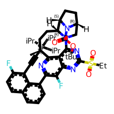 CCS(=O)(=O)c1nc2c3c(nc(-c4cccc5ccc(F)c(C#C[Si](C(C)C)(C(C)C)C(C)C)c45)c(F)c3n1)[C@@H](C)CC[C@@H]1[C@@H]3CC[C@H](CN21)N3C(=O)OC(C)(C)C